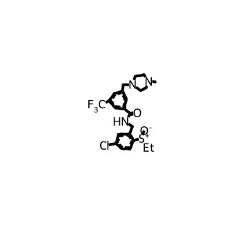 CC[S+]([O-])c1ccc(Cl)cc1CNC(=O)c1cc(CN2CCN(C)CC2)cc(C(F)(F)F)c1